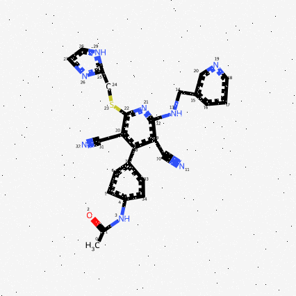 CC(=O)Nc1ccc(-c2c(C#N)c(NCc3cccnc3)nc(SCc3ncc[nH]3)c2C#N)cc1